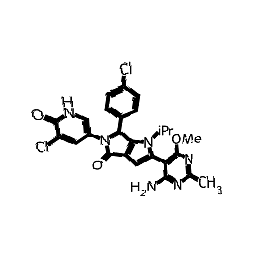 COc1nc(C)nc(N)c1-c1cc2c(n1C(C)C)C(c1ccc(Cl)cc1)N(c1c[nH]c(=O)c(Cl)c1)C2=O